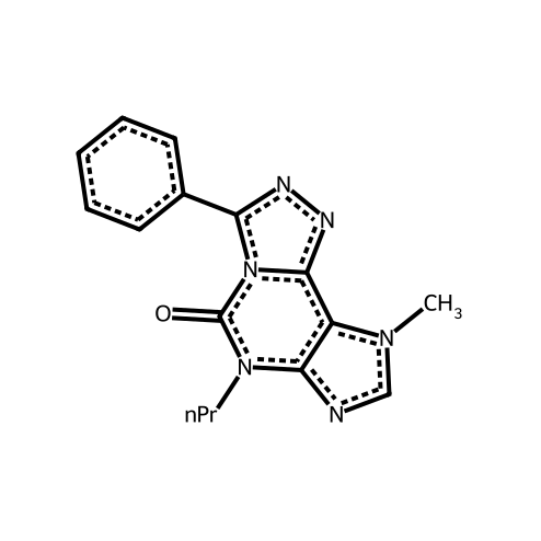 CCCn1c(=O)n2c(-c3ccccc3)nnc2c2c1ncn2C